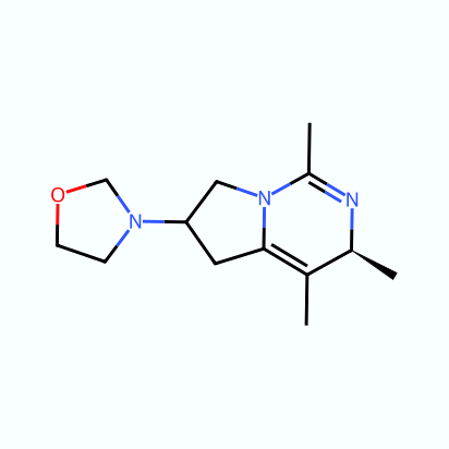 CC1=N[C@@H](C)C(C)=C2CC(N3CCOC3)CN12